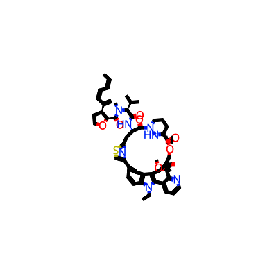 C=C(/C=C\C=C/C)[C@@H]1CCO[C@@H]1C(=O)N(C)[C@H](C(=O)N[C@H]1Cc2nc(cs2)-c2ccc3c(c2)c(c(-c2cccnc2[C@H](C)OC)n3CC)CC(C)(C)COC(=O)[C@@H]2CCCN(N2)C1=O)C(C)C